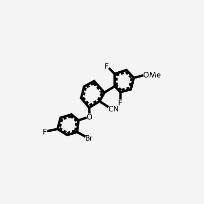 COc1cc(F)c(-c2cccc(Oc3ccc(F)cc3Br)c2C#N)c(F)c1